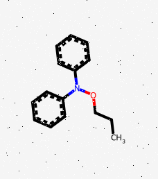 CCCON(c1ccccc1)c1ccccc1